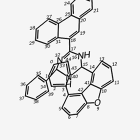 c1ccc(-c2cccc3oc4cccc(C5NC(c6cc7ccccc7c7ccccc67)=NC(c6ccccc6)N5)c4c23)cc1